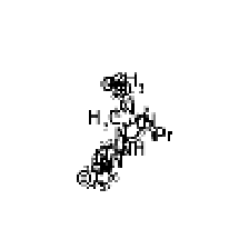 CC(C)c1ncc(N2C[C@H](CS(C)(=O)=O)[C@H]2C)c2cnc(Nc3ccnc(N4CCC5COC[C@@H]54)n3)cc12